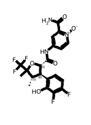 C[C@H]1[C@H](c2ccc(F)c(F)c2O)[C@@H](C(=O)Nc2cc[n+]([O-])c(C(N)=O)c2)OC1(C)C(F)(F)F